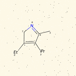 CCC1=C(C(C)C)C(C)=NC1